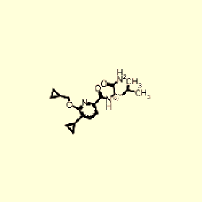 CC(C)C[C@H](NC(=O)c1ccc(C2CC2)c(OCC2CC2)n1)C(N)=O